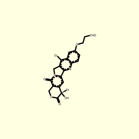 CCc1c2c(nc3ccc(OCCC=O)cc13)-c1cc3c(c(=O)n1C2)COC(=O)[C@]3(O)CC